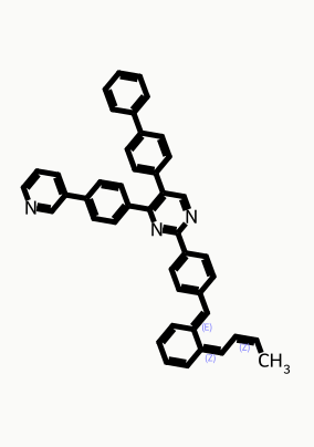 C\C=C/C=c1/cccc/c1=C\c1ccc(-c2ncc(-c3ccc(-c4ccccc4)cc3)c(-c3ccc(-c4cccnc4)cc3)n2)cc1